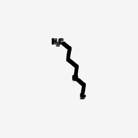 CCCCOC[S]